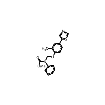 COC(=O)N(COc1ccc(-c2cncs2)cc1C)c1ccccc1